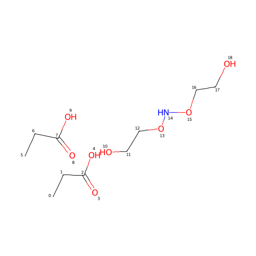 CCC(=O)O.CCC(=O)O.OCCONOCCO